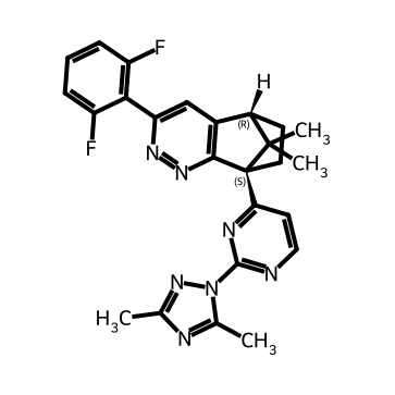 Cc1nc(C)n(-c2nccc([C@@]34CC[C@@H](c5cc(-c6c(F)cccc6F)nnc53)C4(C)C)n2)n1